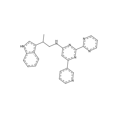 CC(CNc1cc(-c2cccnc2)nc(-c2ncccn2)n1)c1c[nH]c2ccccc12